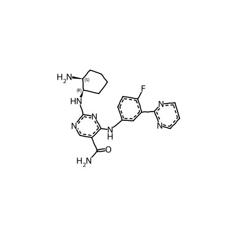 NC(=O)c1cnc(N[C@@H]2CCCC[C@@H]2N)nc1Nc1ccc(F)c(-c2ncccn2)c1